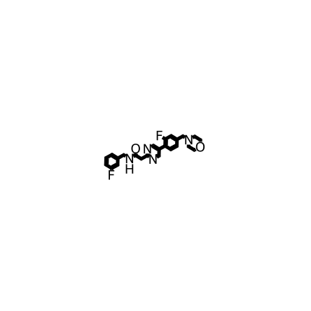 O=C(Cc1ncc(-c2ccc(CN3CCOCC3)cc2F)cn1)NCc1cccc(F)c1